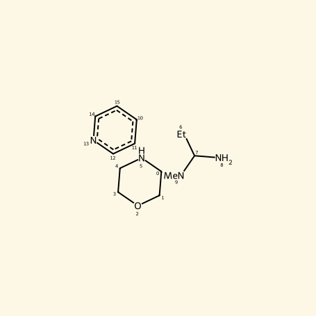 C1COCCN1.CCC(N)NC.c1ccncc1